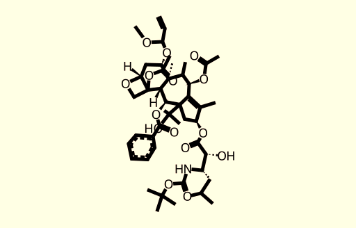 C=CC(OC)O[C@H]1C[C@H]2OCC2(OC(C)=O)[C@H]2[C@H](OC(=O)c3ccccc3)C3(C(C)(C)O)C[C@H](OC(=O)[C@H](O)[C@H](CC(C)C)NC(=O)OC(C)(C)C)C(C)=C3[C@H](OC(C)=O)C(C)[C@]12C